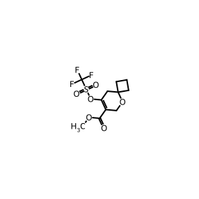 COC(=O)C1=C(OS(=O)(=O)C(F)(F)F)CC2(CCC2)OC1